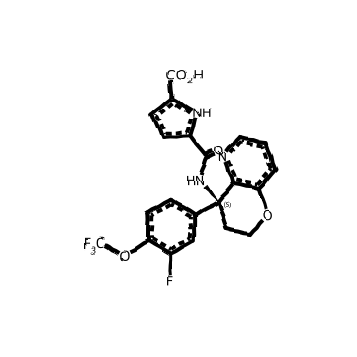 O=C(O)c1ccc(C(=O)N[C@]2(c3ccc(OC(F)(F)F)c(F)c3)CCOc3cccnc32)[nH]1